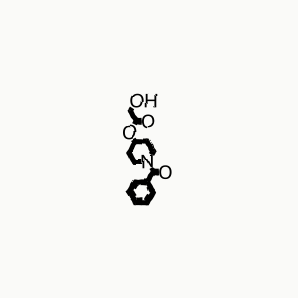 O=C(CO)OC1CCN(C(=O)c2ccccc2)CC1